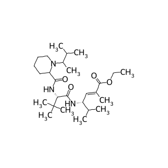 CCOC(=O)/C(C)=C/[C@@H](NC(=O)[C@@H](NC(=O)C1CCCCN1C(C)C(C)C)C(C)(C)C)C(C)C